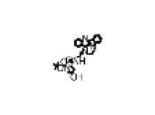 CC(C)(C)OC(=O)N1C[C@H](O)C[C@H]1C(=O)NCCCN1CCCn2c3ccccc3c3nc4ccccc4c1c32